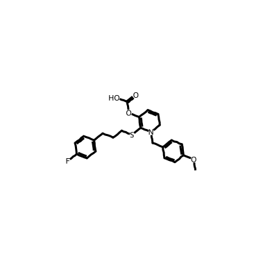 COc1ccc(CN2CC=CC(OC(=O)O)=C2SCCCc2ccc(F)cc2)cc1